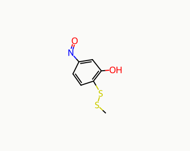 CSSc1ccc(N=O)cc1O